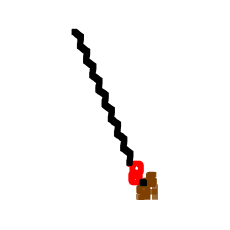 CCCCCCCCCCCCCCCCCCCOOC(=S)S